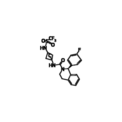 O=C(NC12CC(NS(=O)(=O)C(F)(F)F)(C1)C2)N1CCc2ccccc2[C@@H]1c1ccc(F)cc1